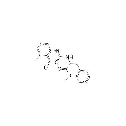 COC(=O)[C@H](Cc1ccccc1)Nc1nc2cccc(C)c2c(=O)o1